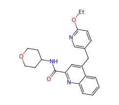 CCOc1ccc(Cc2cc(C(=O)NC3CCOCC3)nc3ccccc23)cn1